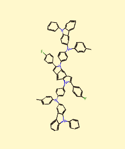 Cc1ccc(N(c2ccc(-n3c(-c4ccc(F)cc4)cc4cc5c(cc(-c6ccc(F)cc6)n5-c5ccc(N(c6ccc(C)cc6)c6ccc7c(c6)c6ccccc6n7-c6ccccc6)cc5)cc43)cc2)c2ccc3c(c2)c2ccccc2n3-c2ccccc2)cc1